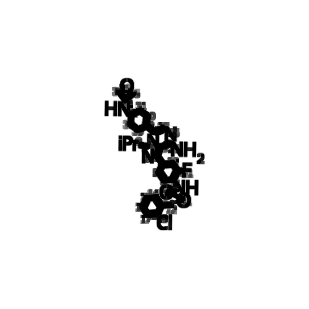 CC(C)c1nc(-c2ccc(NS(=O)(=O)Cc3ccccc3Cl)c(F)c2)c2c(N)ncc(C3=CCC(NC4COC4)CC3)n12